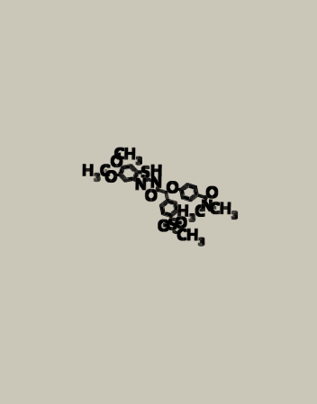 CCS(=O)(=O)c1ccc(C(Oc2ccc(C(=O)N(C)C)cc2)C(=O)Nc2nc3cc(OC)c(OC)cc3s2)cc1